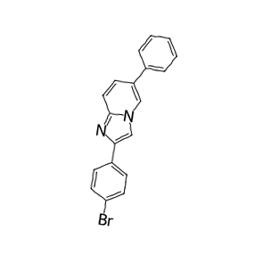 Brc1ccc(-c2cn3cc(-c4ccccc4)ccc3n2)cc1